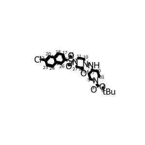 CC(C)(C)OC(=O)N1CCC(NN2CCN(S(=O)(=O)c3ccc4cc(Cl)ccc4c3)CC2=O)CC1